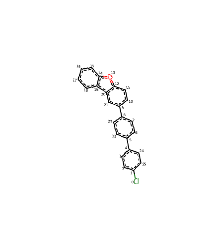 Clc1ccc(-c2ccc(-c3ccc4oc5ccccc5c4c3)cc2)cc1